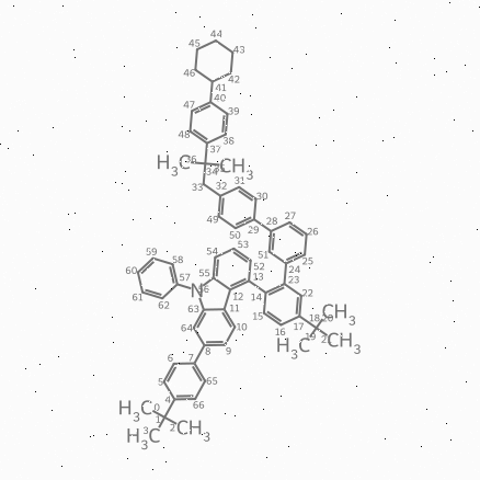 CC(C)(C)c1ccc(-c2ccc3c4c(-c5ccc(C(C)(C)C)cc5-c5cccc(-c6ccc(CC(C)(C)c7ccc(C8CCCCC8)cc7)cc6)c5)cccc4n(-c4ccccc4)c3c2)cc1